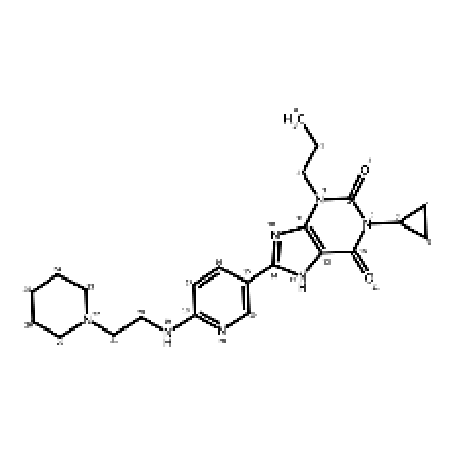 CCCn1c(=O)n(C2CC2)c(=O)c2[nH]c(-c3ccc(NCCN4CCCCC4)nc3)nc21